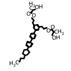 C=CCCC1CCC(c2ccc(-c3ccc(-c4cc(CCCOC(=O)C(=C)CO)cc(CCCOC(=O)C(=C)CO)c4)cc3)cc2)CC1